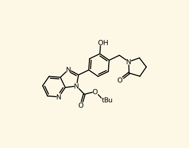 CC(C)(C)OC(=O)n1c(-c2ccc(CN3CCCC3=O)c(O)c2)nc2cccnc21